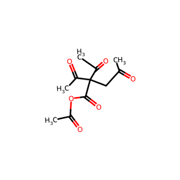 CC(=O)CC(C(C)=O)(C(C)=O)C(=O)OC(C)=O